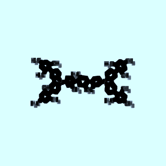 Cc1cc(C)c(-c2ccc3c(c2)c2cc(-c4c(C)cc(C)cc4C)ccc2n3-c2ccc(-c3cc(C)c(-c4ccc(-n5c6ccc(-c7c(C)cc(C)cc7C)cc6c6cc(-c7c(C)cc(C)cc7C)ccc65)cc4C)cc3C)c(C)c2)c(C)c1